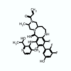 C=CC(=O)N1CC2CCNc3c(F)c(-c4cc(O)cc(F)c4F)c(Cl)c(Nc4c(C)ccnc4C(C)O)c3C(=N)N2CC1C